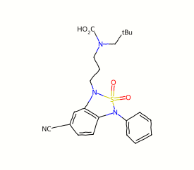 CC(C)(C)CN(CCCN1c2cc(C#N)ccc2N(c2ccccc2)S1(=O)=O)C(=O)O